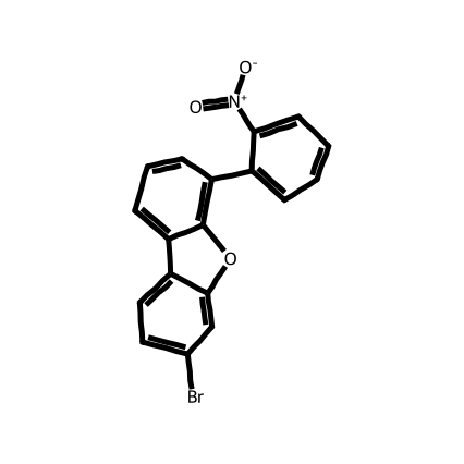 O=[N+]([O-])c1ccccc1-c1cccc2c1oc1cc(Br)ccc12